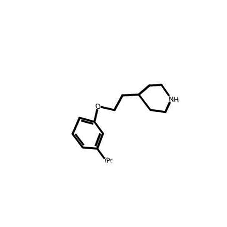 CC(C)c1cccc(OCCC2CCNCC2)c1